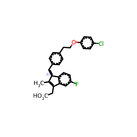 CC1=C(CC(=O)O)c2cc(F)ccc2/C1=C\c1ccc(CCOc2ccc(Cl)cc2)cc1